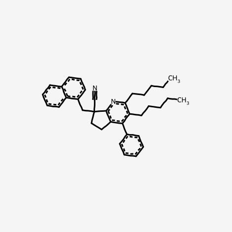 CCCCCc1nc2c(c(-c3ccccc3)c1CCCCC)CCC2(C#N)Cc1cccc2ccccc12